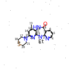 CCN1c2ncccc2C(=O)Nc2c(C)cc(N3CCSCC3)nc21